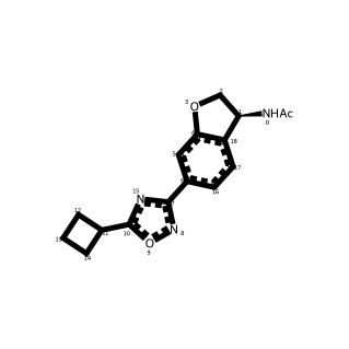 CC(=O)N[C@@H]1COc2cc(-c3noc(C4CCC4)n3)ccc21